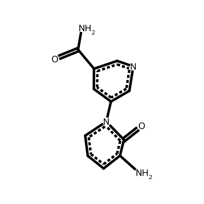 NC(=O)c1cncc(-n2cccc(N)c2=O)c1